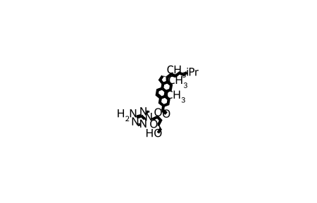 CC(C)CCC[C@@H](C)[C@H]1CCC2C3CC=C4CC(C(=O)O[C@@H]5C[C@@H](CO)O[C@H]5n5cnc6c(N)ncnc65)CC[C@]4(C)C3CC[C@@]21C